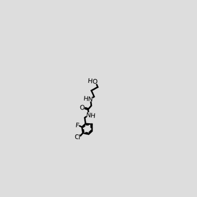 O=C(CNCCCO)NCc1cccc(Cl)c1F